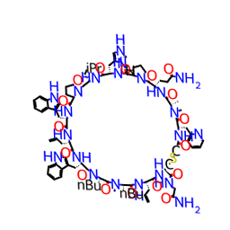 C=CC[C@@H]1NC(=O)[C@H](Cc2c[nH]c3ccccc23)NC(=O)C2CCCN2C(=O)[C@H](CC(C)C)NC(=O)[C@H](Cc2c[nH]cn2)NC(=O)[C@@H]2CCCN2C(=O)[C@H](CCC(N)=O)NC(=O)[C@H](C)N(C)C(=O)[C@H](Cc2ccccn2)NC(=O)CSC[C@@H](C(=O)NCC(N)=O)NC(=O)[C@H](CC=C)NC(=O)[C@H](CCCC)N(C)C(=O)[C@H](CCCC)N(C)C(=O)[C@H](Cc2c[nH]c3ccccc23)NC1=O